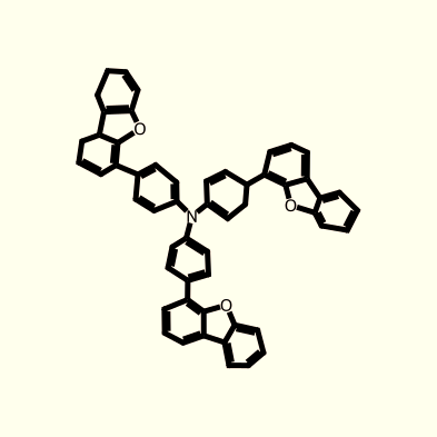 C1=CC2=C(CC1)C1CC=CC(c3ccc(N(C4=CCC(c5cccc6c5oc5ccccc56)C=C4)c4ccc(-c5cccc6c5oc5ccccc56)cc4)cc3)=C1O2